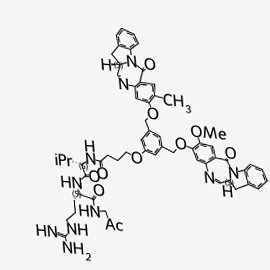 COc1cc2c(cc1OCc1cc(COc3cc4c(cc3C)C(=O)N3c5ccccc5C[C@H]3C=N4)cc(OCCCC(=O)N[C@H](C(=O)N[C@@H](CCCNC(=N)N)C(=O)NCC(C)=O)C(C)C)c1)N=C[C@@H]1Cc3ccccc3N1C2=O